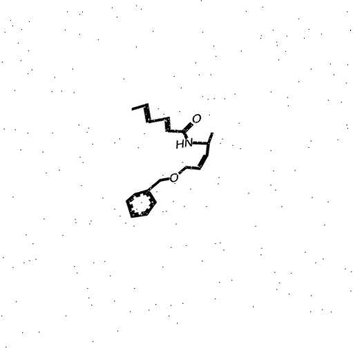 C/C=C/C=C/C(=O)NC(C)/C=C\COCc1ccccc1